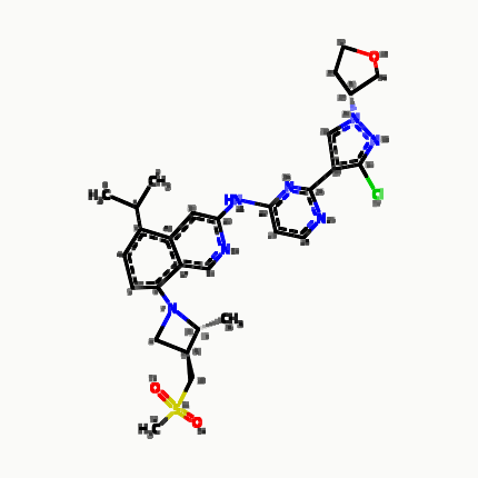 CC(C)c1ccc(N2C[C@H](CS(C)(=O)=O)[C@H]2C)c2cnc(Nc3ccnc(-c4cn([C@@H]5CCOC5)nc4Cl)n3)cc12